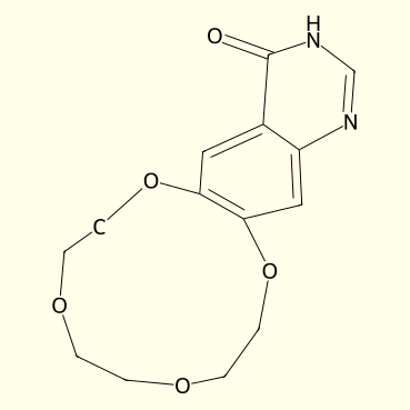 O=c1[nH]cnc2cc3c(cc12)OCCOCCOCCO3